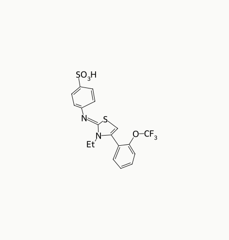 CCn1c(-c2ccccc2OC(F)(F)F)csc1=Nc1ccc(S(=O)(=O)O)cc1